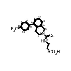 O=C(O)CCNC(=O)N1CCc2c(cccc2-c2ccc(C(F)(F)F)cc2)C1